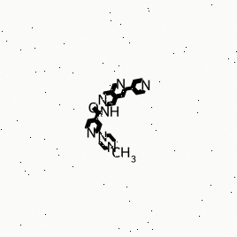 CN1CCN(c2cc(C(=O)Nc3cc4cc(-c5ccncc5)ncc4cn3)ccn2)CC1